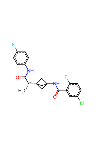 C[C@H](C(=O)Nc1ccc(F)cc1)C12CC(NC(=O)c3cc(Cl)ccc3F)(C1)C2